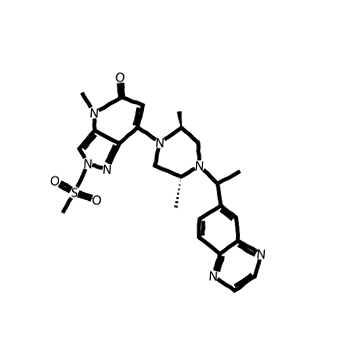 CC(c1ccc2nccnc2c1)N1C[C@H](C)N(c2cc(=O)n(C)c3cn(S(C)(=O)=O)nc23)C[C@H]1C